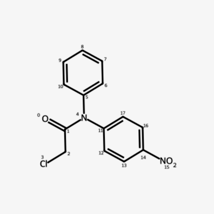 O=C(CCl)N(c1ccccc1)c1ccc([N+](=O)[O-])cc1